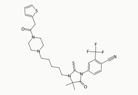 CC1(C)C(=O)N(c2ccc(C#N)c(C(F)(F)F)c2)C(=S)N1CCCCCN1CCN(C(=O)Cc2cccs2)CC1